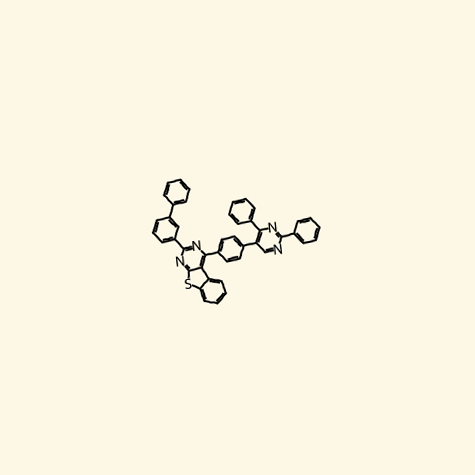 c1ccc(-c2cccc(-c3nc(-c4ccc(-c5cnc(-c6ccccc6)nc5-c5ccccc5)cc4)c4c(n3)sc3ccccc34)c2)cc1